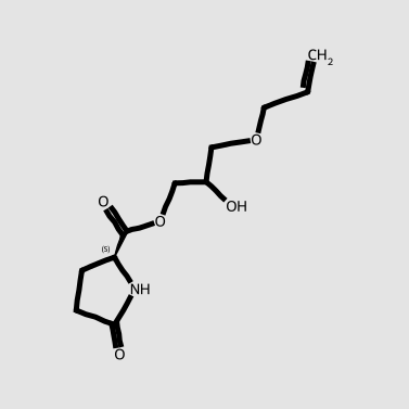 C=CCOCC(O)COC(=O)[C@@H]1CCC(=O)N1